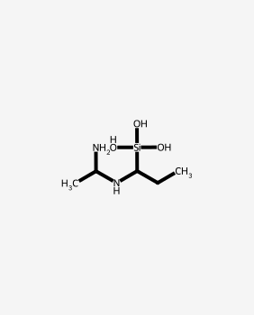 CCC(NC(C)N)[Si](O)(O)O